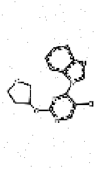 Clc1cnc(OC2CCOC2)nc1-n1cnc2ccccc21